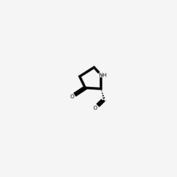 O=[C][C@H]1NCCC1=O